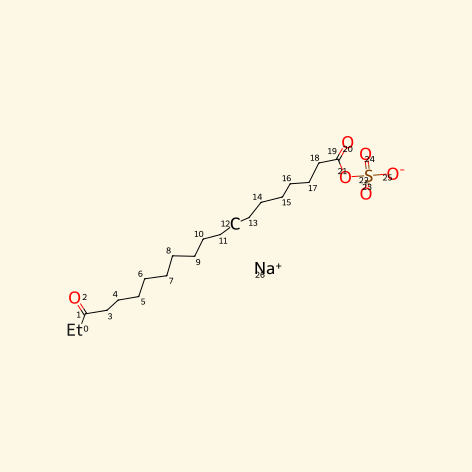 CCC(=O)CCCCCCCCCCCCCCCCC(=O)OS(=O)(=O)[O-].[Na+]